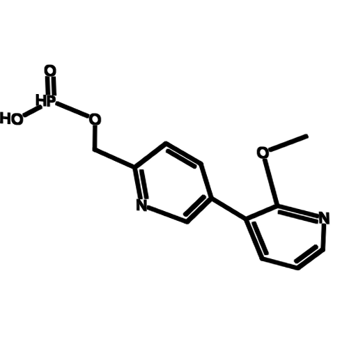 COc1ncccc1-c1ccc(CO[PH](=O)O)nc1